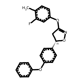 Cc1ccc(OC2=NO[C@H](c3ccc(Oc4ccccc4)cc3)C2)cc1F